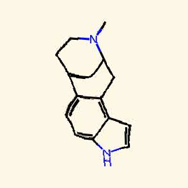 CN1CCC23CCCCC2C1Cc1c3ccc2[nH]ccc12